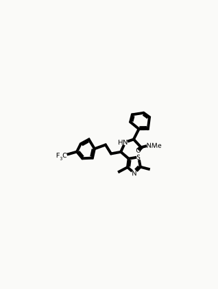 CNC(=O)C(NC(CCc1ccc(C(F)(F)F)cc1)c1sc(C)nc1C)c1ccccc1